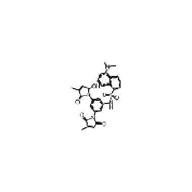 CC1=CC(=O)N(c2cc(NS(=O)(=O)c3cccc4c(N(C)C)cccc34)cc(N3C(=O)C(C)=CC3O)c2)C1=O